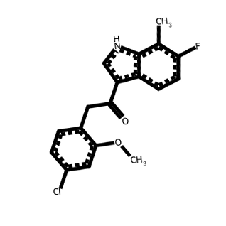 COc1cc(Cl)ccc1CC(=O)c1c[nH]c2c(C)c(F)ccc12